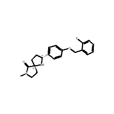 CN1CC[C@]2(CC[C@H](c3ccc(OCc4ccccc4F)cc3)N2)C1=O